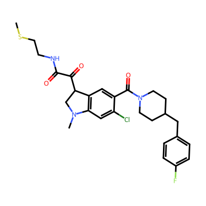 CSCCNC(=O)C(=O)C1CN(C)c2cc(Cl)c(C(=O)N3CCC(Cc4ccc(F)cc4)CC3)cc21